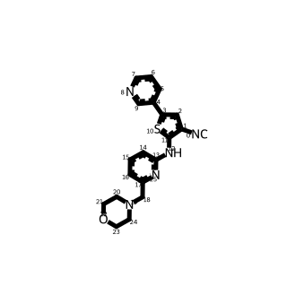 [C-]#[N+]c1cc(-c2cccnc2)sc1Nc1cccc(CN2CCOCC2)n1